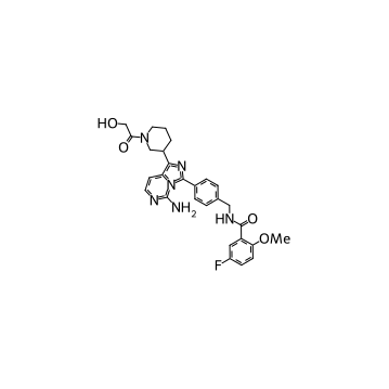 COc1ccc(F)cc1C(=O)NCc1ccc(-c2nc(C3CCCN(C(=O)CO)C3)c3ccnc(N)n23)cc1